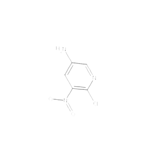 Nc1cnc(Cl)c([N+](=O)[O-])c1